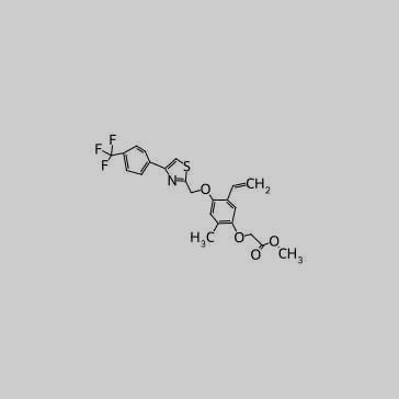 C=Cc1cc(OCC(=O)OC)c(C)cc1OCc1nc(-c2ccc(C(F)(F)F)cc2)cs1